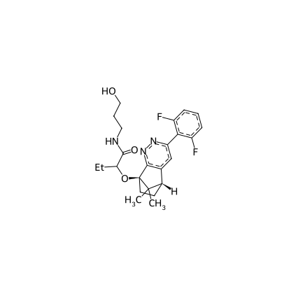 CCC(O[C@@]12CC[C@@H](c3cc(-c4c(F)cccc4F)nnc31)C2(C)C)C(=O)NCCCO